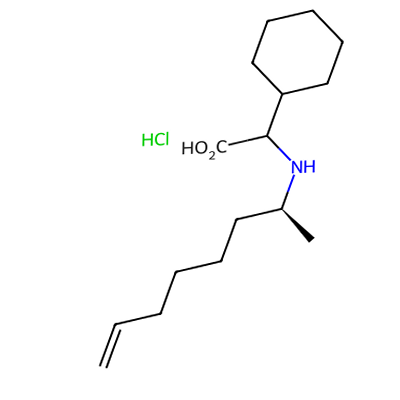 C=CCCCC[C@H](C)NC(C(=O)O)C1CCCCC1.Cl